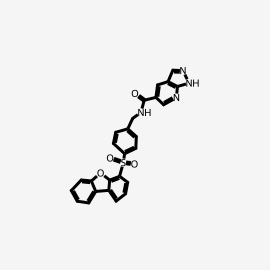 O=C(NCc1ccc(S(=O)(=O)c2cccc3c2oc2ccccc23)cc1)c1cnc2[nH]ncc2c1